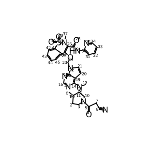 C[C@@H]1CCN(C(=O)CC#N)C[C@@H]1N(C)c1ncnc2c1ccn2COC1=C(C(=O)Nc2ccccn2)N(C)S(=O)(=O)c2ccccc21